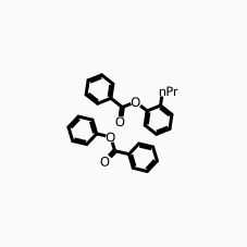 CCCc1ccccc1OC(=O)c1ccccc1.O=C(Oc1ccccc1)c1ccccc1